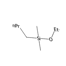 C[CH]O[Si](C)(C)CCCC